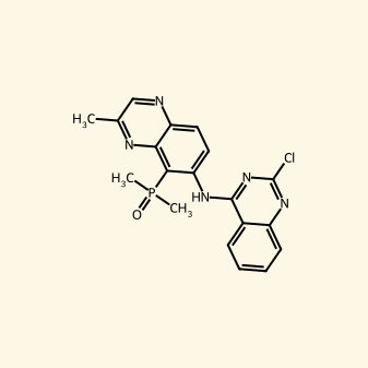 Cc1cnc2ccc(Nc3nc(Cl)nc4ccccc34)c(P(C)(C)=O)c2n1